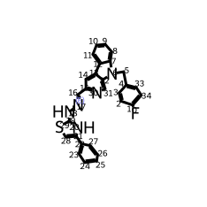 Fc1ccc(Cn2c3ccccc3c3cc(/C=N/NC4NC(c5ccccc5)=CS4)ncc32)cc1